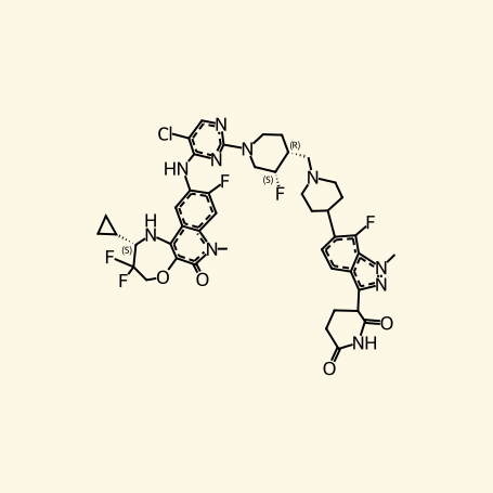 Cn1nc(C2CCC(=O)NC2=O)c2ccc(C3CCN(C[C@H]4CCN(c5ncc(Cl)c(Nc6cc7c8c(c(=O)n(C)c7cc6F)OCC(F)(F)[C@H](C6CC6)N8)n5)C[C@H]4F)CC3)c(F)c21